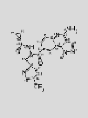 Cn1ncc2c(N)nc3ccc(C(=O)N(Cc4ccc(C(F)(F)F)cn4)NC(=O)C4CC4)cc3c21